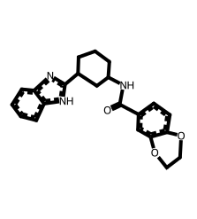 O=C(NC1CCCC(c2nc3ccccc3[nH]2)C1)c1ccc2c(c1)OCCO2